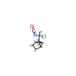 CC(Cl)(N=C=O)C1=CC2CCC1C2